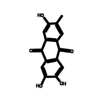 Cc1cc2c(cc1O)C(=O)c1cc(O)c(O)cc1C2=O